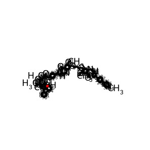 COc1cc2c(cc1OCCCOc1cc3c(cc1OC)C(=O)N1C=C(c4ccc(N5CCN(C)CC5)cc4)C[C@H]1C=N3)N=C[C@@H]1CC(c3ccc(NC(=O)[C@H](C)NC(=O)[C@H](C(C)C)N(CC4c5ccccc5-c5ccccc54)C(=O)O)cc3)=CN1C2=O